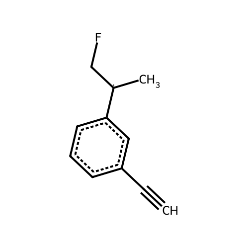 C#Cc1cccc([C](C)CF)c1